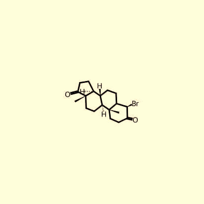 C[C@]12CCC(=O)[C@H](Br)C1CC[C@@H]1[C@@H]2CC[C@]2(C)C(=O)CC[C@@H]12